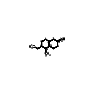 CCC1CCC2=C(CCC(=N)C2)C1C